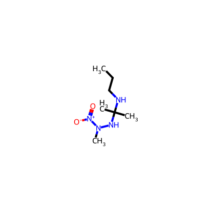 CCCNC(C)(C)NN(C)[N+](=O)[O-]